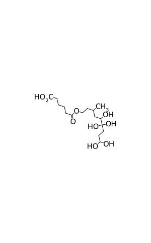 CC(CCOC(=O)CCCCC(=O)O)CC(O)C(O)(O)CCC(O)O